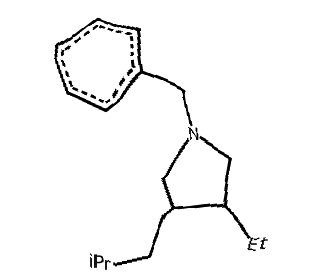 CCC1CN(Cc2ccccc2)CC1CC(C)C